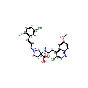 COc1ccc2ncc(Cl)c(CCNC3(C(=O)O)CCN(CC=Cc4cc(F)ccc4F)C3)c2c1